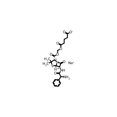 CC1(C)S[C@@H]2[C@H](NC(=O)C(N)c3ccccc3)C(=O)N2[C@H]1C(=O)OCOC(=O)CCCC(=O)[O-].[Na+]